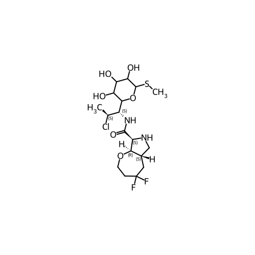 CSC1OC([C@H](NC(=O)[C@H]2NC[C@@H]3CC(F)(F)CCO[C@H]32)[C@H](C)Cl)C(O)C(O)C1O